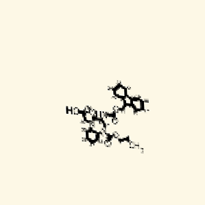 C=CCOC(=O)N1C[C@H](NC(=O)OCC2c3ccccc3-c3ccccc32)C(=O)N(CC(=O)O)c2ccccc21